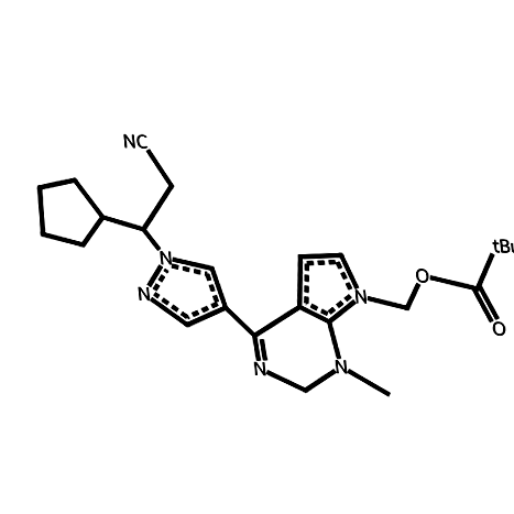 CN1CN=C(c2cnn(C(CC#N)C3CCCC3)c2)c2ccn(COC(=O)C(C)(C)C)c21